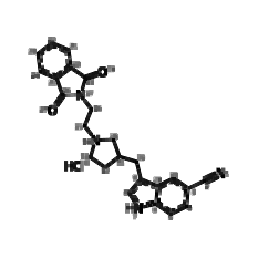 Cl.N#Cc1ccc2[nH]cc(CC3CCN(CCN4C(=O)c5ccccc5C4=O)C3)c2c1